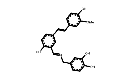 COc1cc(C=Cc2ccc(O)c(C=NCc3ccc(O)c(O)c3)c2)ccc1O